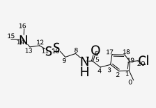 Cc1cc(CC(=O)NCCSSCCN(C)C)ccc1Cl